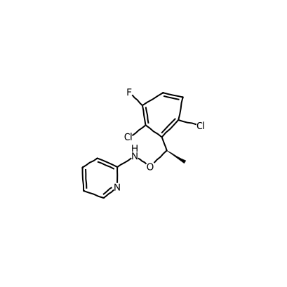 C[C@@H](ONc1ccccn1)c1c(Cl)ccc(F)c1Cl